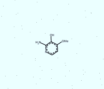 COc1ccnc(N)c1O